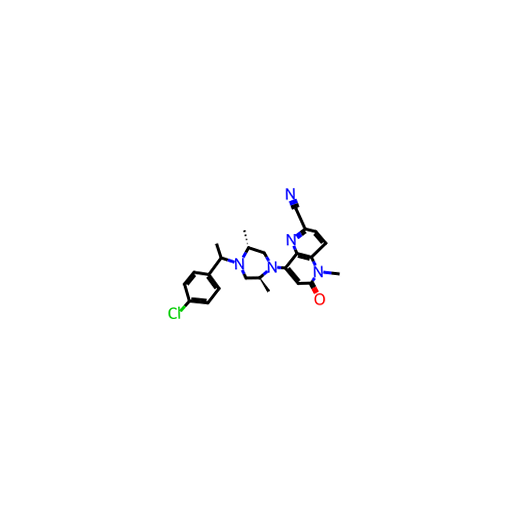 CC(c1ccc(Cl)cc1)N1C[C@H](C)N(c2cc(=O)n(C)c3ccc(C#N)nc23)C[C@H]1C